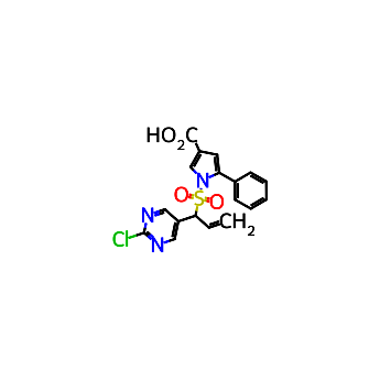 C=CC(c1cnc(Cl)nc1)S(=O)(=O)n1cc(C(=O)O)cc1-c1ccccc1